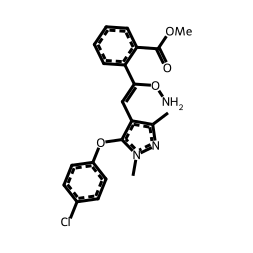 COC(=O)c1ccccc1C(=Cc1c(C)nn(C)c1Oc1ccc(Cl)cc1)ON